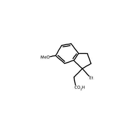 CCC1(CC(=O)O)CCc2ccc(OC)cc21